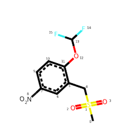 CS(=O)(=O)Cc1cc([N+](=O)[O-])ccc1OC(F)F